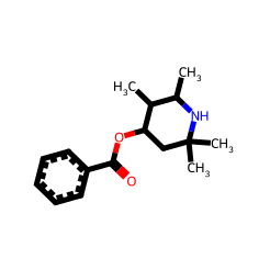 CC1NC(C)(C)CC(OC(=O)c2ccccc2)C1C